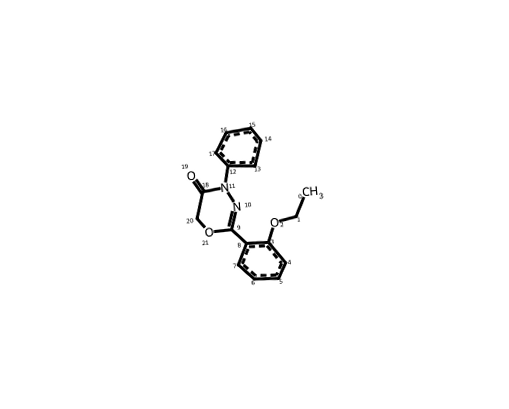 CCOc1ccccc1C1=NN(c2ccccc2)C(=O)CO1